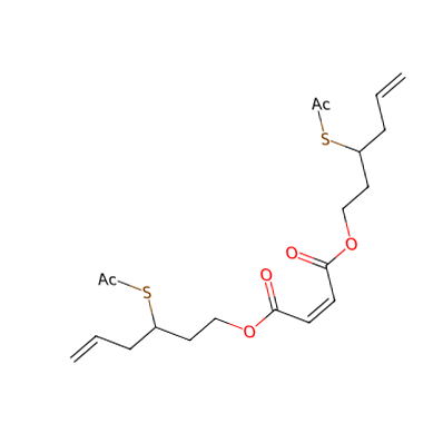 C=CCC(CCOC(=O)/C=C\C(=O)OCCC(CC=C)SC(C)=O)SC(C)=O